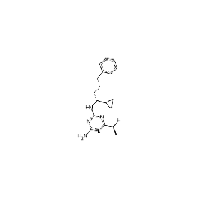 C[C@H](F)c1nc(N)nc(N[C@H](CCCc2ccccc2)C2CC2)n1